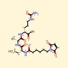 CC(C)C(=O)[C@@H](CCCNC(N)=O)NC(=O)[C@H](NC(=O)[C@@H](CS(=O)(=O)O)NC(=O)CCCCCN1C(=O)C=CC1=O)C(C)C